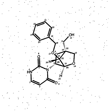 O=c1cc[nH]c(=O)n1[C@@H]1O[C@@]2(CO)CO[C@@H]1[C@@H]2OCc1ccccc1